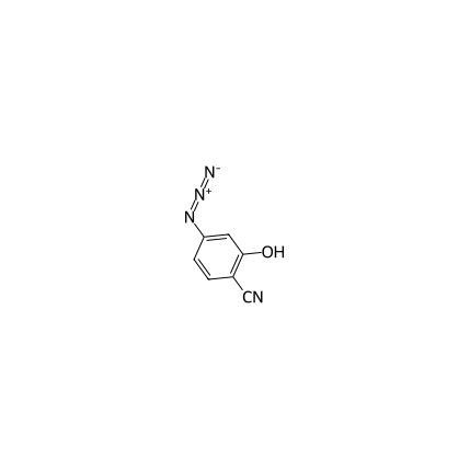 N#Cc1ccc(N=[N+]=[N-])cc1O